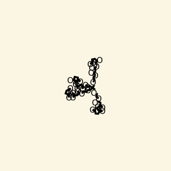 O=C(CC(=O)ON1C(=O)CCC1=O)OCCOCC(COCCOC(=O)CC(=O)ON1C(=O)CCC1=O)(COCCOC(=O)CC(=O)ON1C(=O)CCC1=O)COOC(=O)CC(=O)ON1C(=O)CCC1=O